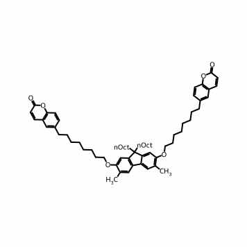 CCCCCCCCC1(CCCCCCCC)c2cc(OCCCCCCCCc3ccc4oc(=O)ccc4c3)c(C)cc2-c2cc(C)c(OCCCCCCCCc3ccc4oc(=O)ccc4c3)cc21